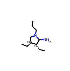 CCCN1C[C@H](CC)[C@@H](CC)C1N